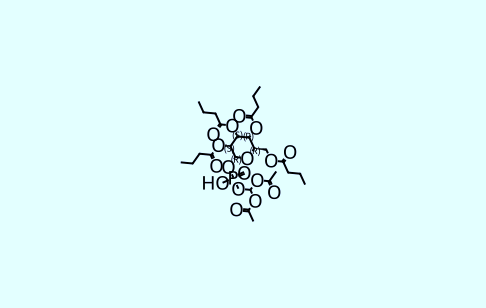 CCCC(=O)OC[C@H]1O[C@H](OP(=O)(O)OC(OC(C)=O)OC(C)=O)[C@@H](OC(=O)CCC)[C@@H](OC(=O)CCC)[C@@H]1OC(=O)CCC